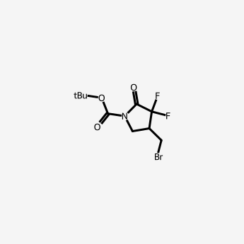 CC(C)(C)OC(=O)N1CC(CBr)C(F)(F)C1=O